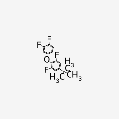 CC(C)(C)c1cc(F)c(Oc2ccc(F)c(F)c2)c(F)c1